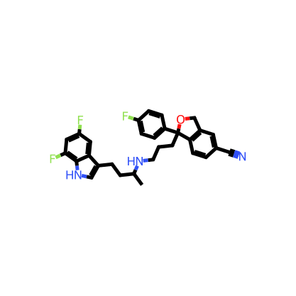 CC(CCc1c[nH]c2c(F)cc(F)cc12)NCCCC1(c2ccc(F)cc2)OCc2cc(C#N)ccc21